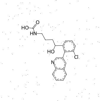 O=C(O)NCCCC(O)c1cccc(Cl)c1-c1cnc2ccccc2c1